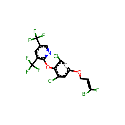 FC(Br)=CCOc1cc(Cl)c(Oc2ncc(C(F)(F)F)cc2C(F)(F)F)c(Cl)c1